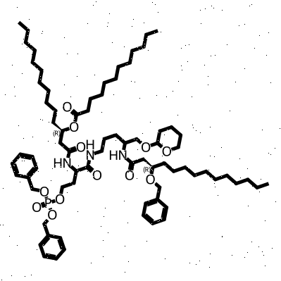 CCCCCCCCCCCC(=O)O[C@H](CCCCCCCCCCC)CC(=O)NC(CCOP(=O)(OCc1ccccc1)OCc1ccccc1)C(=O)NCCCC(COC1CCCCO1)NC(=O)C[C@@H](CCCCCCCCCCC)OCc1ccccc1